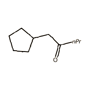 [CH2]CCC(=O)CC1CCCC1